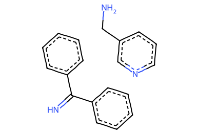 N=C(c1ccccc1)c1ccccc1.NCc1cccnc1